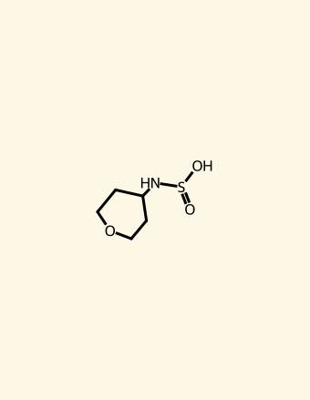 O=S(O)NC1CCOCC1